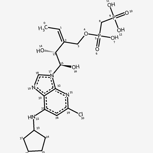 C/C=C(/COP(=O)(O)CP(=O)(O)O)[C@@H](O)[C@@H](O)n1cnc2c(NC3CCCC3)cc(Cl)nc21